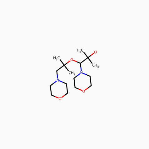 CC(C)(CN1CCOCC1)OC(N1CCOCC1)C(C)(C)[O]